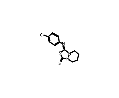 S=c1sc(=Nc2ccc(Cl)cc2)n2n1CCCC2